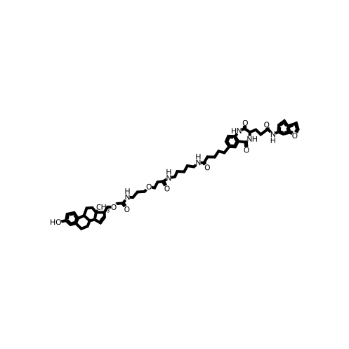 C[C@]12CCC3c4ccc(O)cc4CCC3C1C=CC2COCC(=O)NCCCOCCC(=O)NCCCCCNC(=O)CCCCc1ccc2c(c1)C(=O)NC(CCC(=O)Nc1ccc3ccoc3c1)C(=O)N2